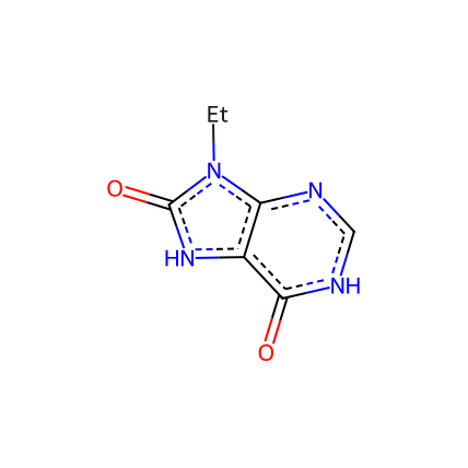 CCn1c(=O)[nH]c2c(=O)[nH]cnc21